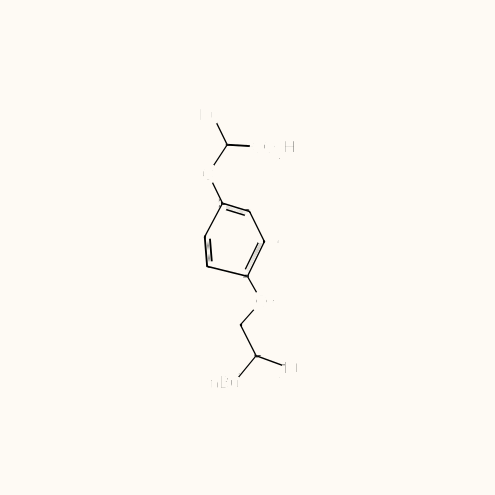 CCCCC(CC)COc1ccc(OC(CC)C(=O)O)cc1